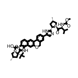 COC(=O)N[C@H](C(=O)N1C[C@@H](C)C[C@H]1c1ncc(-c2ccc3c(c2)COc2cc4c(ccc5nc([C@@]6(C(C)(C)C)C[C@H](C)CN6C(=O)O)[nH]c54)cc2-3)[nH]1)C(C)C